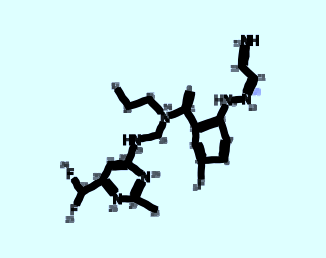 C=C(c1cc(F)ccc1N/N=C\C=N)N(CCC)CNc1cc(C(F)F)nc(C)n1